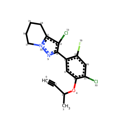 C#CC(C)Oc1cc(-c2nn3c(c2Cl)CCCC3)c(F)cc1Cl